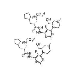 Cc1nc(NNC(=O)[C@@H](CNC(=O)O)CC2CCCC2)c(F)c(N2CCN(C)C[C@@H]2CO)n1.Cc1nc(NNC(=O)[C@@H](CNC(=O)O)CC2CCCC2)c(F)c(N2CCN(C)C[C@@H]2CO)n1